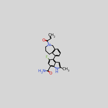 C=CC(=O)N1CCCc2c(cccc2-c2c(F)cc(C(N)=O)c3[nH]c(C)cc23)C1